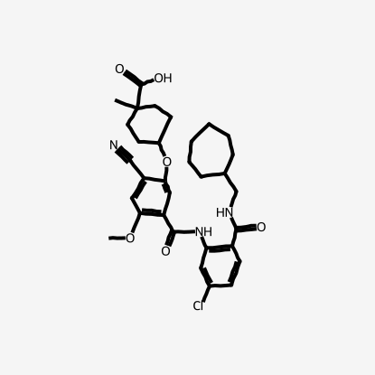 COc1cc(C#N)c(OC2CCC(C)(C(=O)O)CC2)cc1C(=O)Nc1cc(Cl)ccc1C(=O)NCC1CCCCCC1